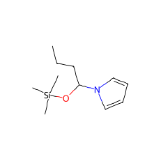 CCCC(O[Si](C)(C)C)n1cccc1